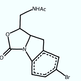 CC(=O)NCC1OC(=O)N2c3ccc(Br)cc3CC12